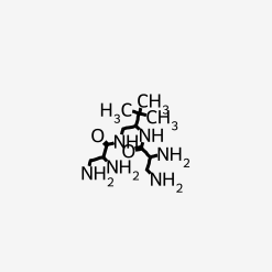 CC(C)(C)C(CNC(=O)C(N)CN)NC(=O)C(N)CN